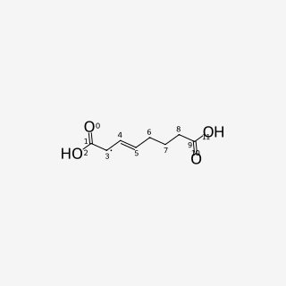 O=C(O)[CH]C=CCCCC(=O)O